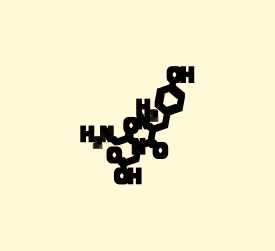 NCC(=O)N(CC(=O)O)C(=O)C(N)Cc1ccc(O)cc1